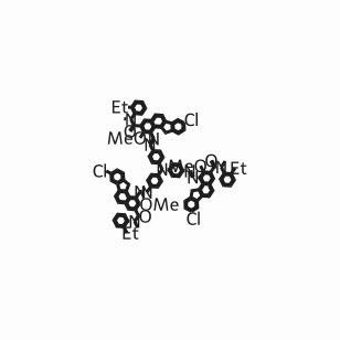 CCc1ccccc1N(C)C(=O)c1cc2ccc3c(c2c(N=Nc2ccc(N(c4ccc(N=Nc5c(OC)c(C(=O)N(C)c6ccccc6CC)cc6ccc7c(c56)Cc5ccc(Cl)cc5-7)cc4)c4ccc(N=Nc5c(OC)c(C(=O)N(C)c6ccccc6CC)cc6ccc7c(c56)Cc5ccc(Cl)cc5-7)cc4)cc2)c1OC)Cc1ccc(Cl)cc1-3